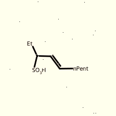 CCCCCC=CC(CC)S(=O)(=O)O